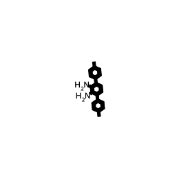 Cc1ccc(-c2ccc(-c3ccc(C)cc3)c(N)c2N)cc1